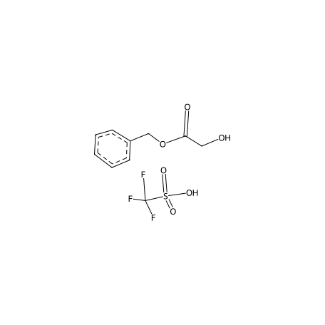 O=C(CO)OCc1ccccc1.O=S(=O)(O)C(F)(F)F